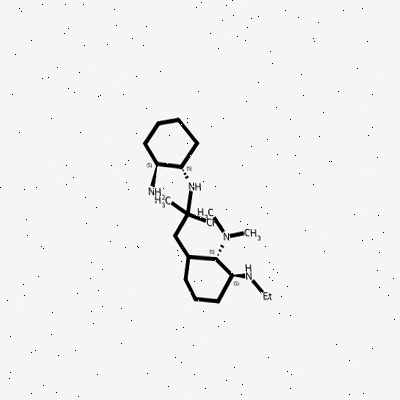 CCN[C@H]1CCCC(CC(C)(C)N[C@H]2CCCC[C@@H]2N)[C@@H]1N(C)C